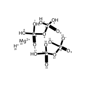 O=P(O)(O)OP(=O)(O)O.O=P([O-])([O-])OP(=O)([O-])O.[H+].[Mg+2]